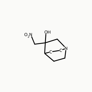 O=[N+]([O-])CC1(O)CN2CCC1CC2